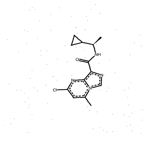 Cc1cc(Cl)nc2c(C(=O)N[C@H](C)C3CC3)ncn12